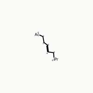 CC(=O)CCC=CCC(C)C